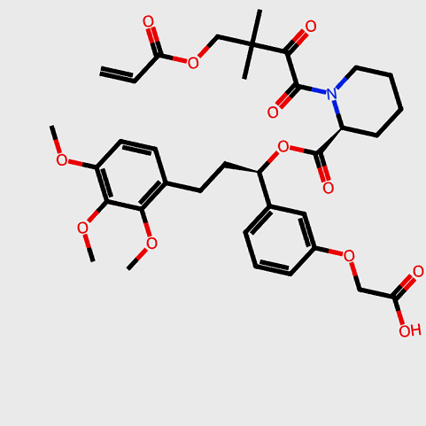 C=CC(=O)OCC(C)(C)C(=O)C(=O)N1CCCC[C@H]1C(=O)O[C@H](CCc1ccc(OC)c(OC)c1OC)c1cccc(OCC(=O)O)c1